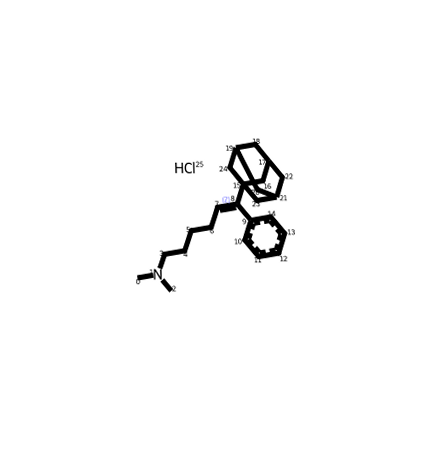 CN(C)CCCC/C=C(\c1ccccc1)C12CC3CC(CC(C3)C1)C2.Cl